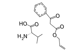 C=CCOC(=O)CC(=O)c1ccccc1.CC(C)[C@H](N)C(=O)O